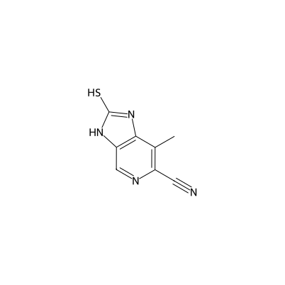 Cc1c(C#N)ncc2[nH]c(S)nc12